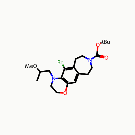 COC(C)CN1CCOc2cc3c(c(Br)c21)CCN(C(=O)OC(C)(C)C)CC3